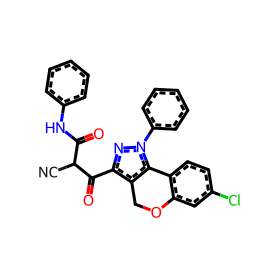 N#CC(C(=O)Nc1ccccc1)C(=O)c1nn(-c2ccccc2)c2c1COc1cc(Cl)ccc1-2